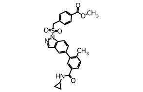 COC(=O)c1ccc(CS(=O)(=O)n2ncc3cc(-c4cc(C(=O)NC5CC5)ccc4C)ccc32)cc1